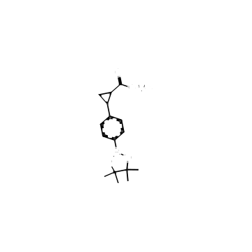 COC(=O)C1CC1c1ccc(B2OC(C)(C)C(C)(C)O2)cc1